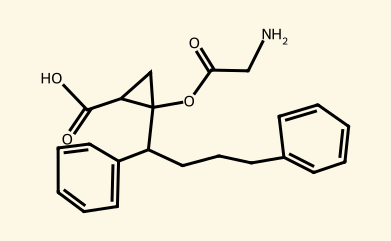 NCC(=O)OC1(C(CCCc2ccccc2)c2ccccc2)CC1C(=O)O